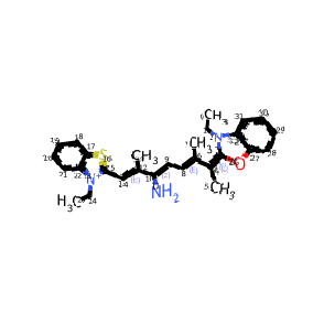 CCN1\C(=C(C)/C(C)=C/C=C(N)/C(C)=C/c2sc3ccccc3[n+]2CC)Oc2ccccc21